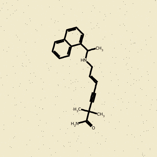 CC(NCC=CC#CC(C)(C)C(N)=O)c1cccc2ccccc12